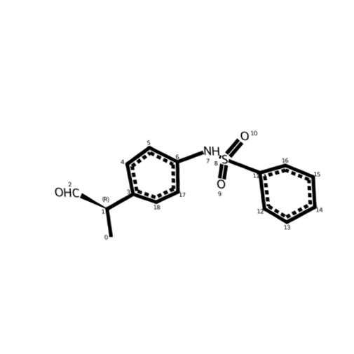 C[C@@H](C=O)c1ccc(NS(=O)(=O)c2ccccc2)cc1